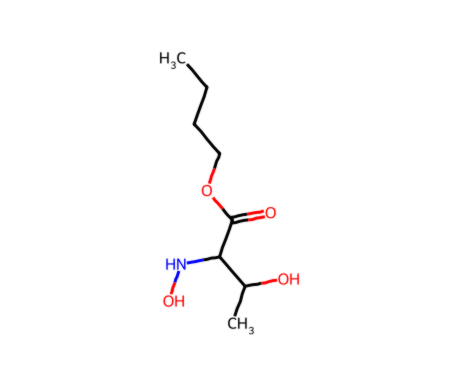 CCCCOC(=O)C(NO)C(C)O